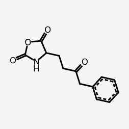 O=C(CCC1NC(=O)OC1=O)Cc1ccccc1